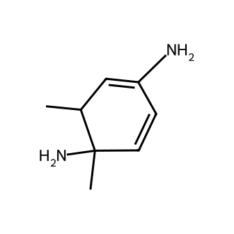 CC1C=C(N)C=CC1(C)N